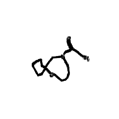 NC(=O)N1CCOC2(CCC2)C1